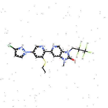 CCSc1cc(-n2ccc(Cl)n2)cnc1-c1cc2c(cn1)n(CC(F)(F)C(F)(F)F)c(=O)n2C